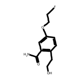 NC(=O)c1cc(OCCF)ccc1[CH]CO